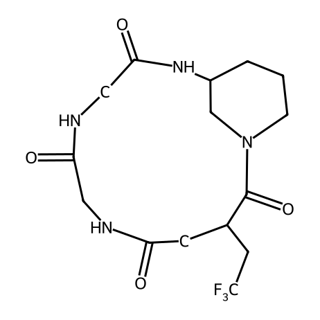 O=C1CNC(=O)CC(CC(F)(F)F)C(=O)N2CCCC(C2)NC(=O)CN1